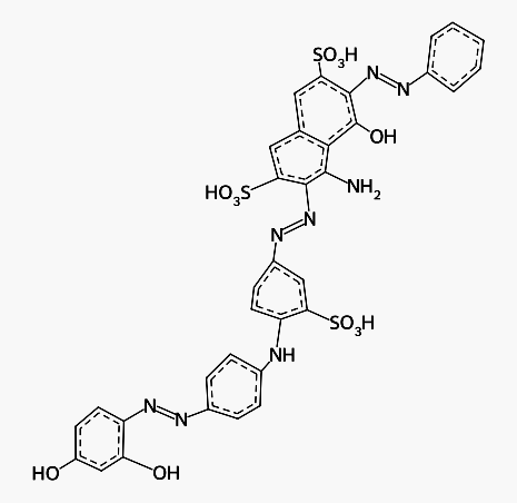 Nc1c(N=Nc2ccc(Nc3ccc(N=Nc4ccc(O)cc4O)cc3)c(S(=O)(=O)O)c2)c(S(=O)(=O)O)cc2cc(S(=O)(=O)O)c(N=Nc3ccccc3)c(O)c12